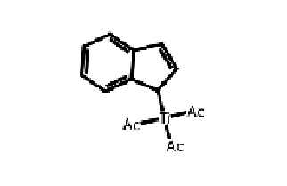 C[C](=O)[Ti]([C](C)=O)([C](C)=O)[CH]1C=Cc2ccccc21